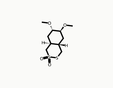 CO[C@H]1C[C@@H]2CS(=O)(=O)SC[C@H]2C[C@@H]1OC